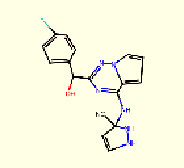 N#CC1(Nc2nc(C(O)c3ccc(F)cc3)nn3cccc23)C=CNN1